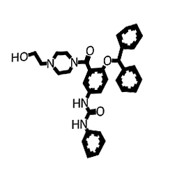 O=C(Nc1ccccc1)Nc1ccc(OC(c2ccccc2)c2ccccc2)c(C(=O)N2CCN(CCO)CC2)c1